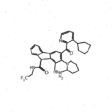 CCCCc1c2c(cc(C(=O)c3ncccc3C3CCCCC3)c1N1CCCCC1N)-c1ccccc1C2C(=O)NCC(F)(F)F